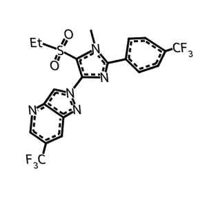 CCS(=O)(=O)c1c(-n2cc3ncc(C(F)(F)F)cc3n2)nc(-c2ccc(C(F)(F)F)cc2)n1C